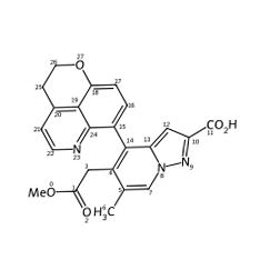 COC(=O)Cc1c(C)cn2nc(C(=O)O)cc2c1-c1ccc2c3c(ccnc13)CCO2